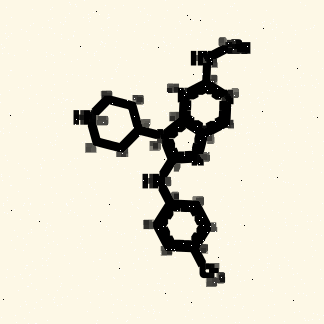 CC(C)(C)Nc1ncc2nc(Nc3ccc(C(F)(F)F)cc3)n(C3CCNCC3)c2n1